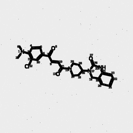 CN(C)c1ccc(C(=O)C=CC(=O)N2CCC(N3Cc4ccccc4NC3=O)CC2)cc1Cl